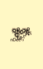 CCCCCCCCCCCCCCCCN1CCCC1C(=O)N1CCc2cc(OC(=O)c3ccccc3-c3ccc(C(F)(F)F)cc3)ccc2C1